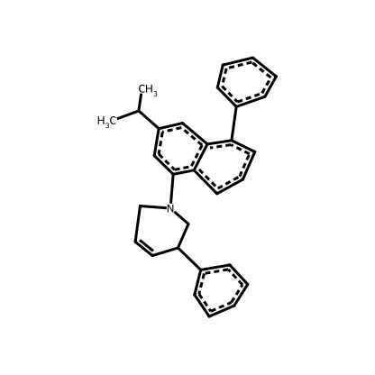 CC(C)c1cc(N2CC=CC(c3ccccc3)C2)c2cccc(-c3ccccc3)c2c1